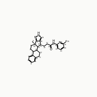 C[C@]12CCC3c4ccccc4CCC3C1[C@H](CCC(=O)Nc1cccc(F)n1)c1c[nH]nc12